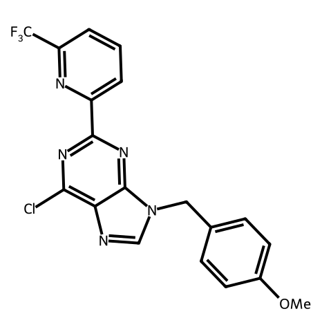 COc1ccc(Cn2cnc3c(Cl)nc(-c4cccc(C(F)(F)F)n4)nc32)cc1